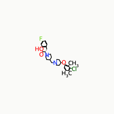 Cc1ccc(OC2CCN(CC3CCN([C@@H](Cc4ccc(F)cc4)C(=O)O)CC3)CC2)c(C)c1Cl